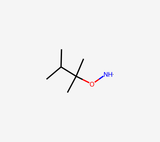 CC(C)C(C)(C)O[NH]